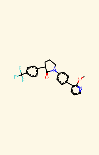 COc1ncccc1-c1ccc(N2CCCC(c3c[c]c(C(F)(F)F)cc3)C2=O)cc1